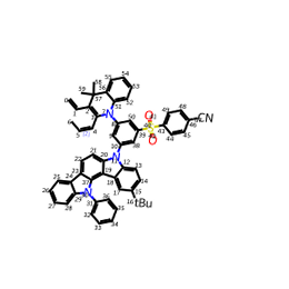 C=CC1=C(/C=C\C)N(c2cc(-n3c4ccc(C(C)(C)C)cc4c4c3ccc3c5ccccc5n(-c5ccccc5)c34)cc(S(=O)(=O)c3ccc(C#N)cc3)c2)c2ccccc2C1(C)C